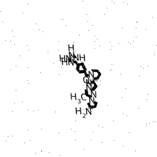 Cc1cn2nc([C@@H]3CCCCN3C(=O)c3ccc(C4NNNN4)cc3)cc2nc1N1CC[C@H](N)C1